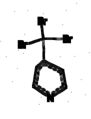 BrC(Br)(Br)c1ccncc1